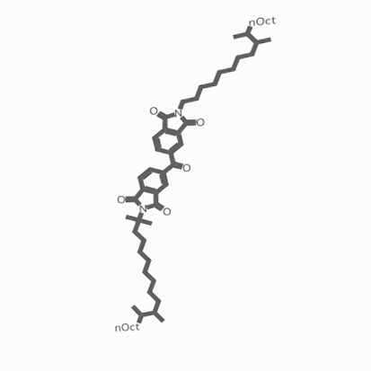 CCCCCCCCC(C)C(C)CCCCCCCCN1C(=O)c2ccc(C(=O)c3ccc4c(c3)C(=O)N(C(C)(C)CCCCCCCCC(C)C(C)CCCCCCCC)C4=O)cc2C1=O